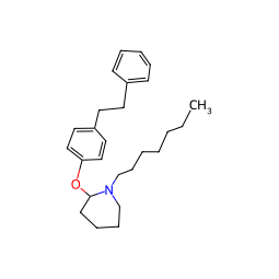 CCCCCCCN1CCCCC1Oc1ccc(CCc2ccccc2)cc1